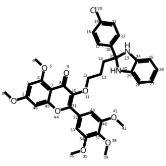 COc1cc(OC)c2c(=O)c(OCCCC3(c4ccc(Cl)cc4)Nc4ccccc4N3)c(-c3cc(OC)c(OC)c(OC)c3)oc2c1